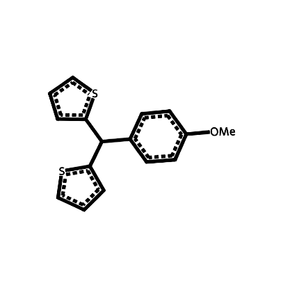 COc1ccc(C(c2cccs2)c2cccs2)cc1